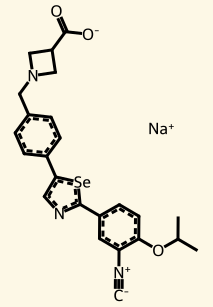 [C-]#[N+]c1cc(-c2ncc(-c3ccc(CN4CC(C(=O)[O-])C4)cc3)[se]2)ccc1OC(C)C.[Na+]